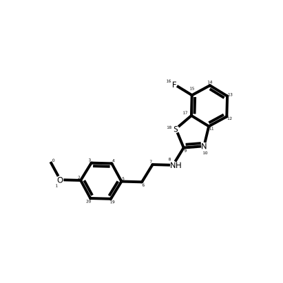 COc1ccc(CCNc2nc3cccc(F)c3s2)cc1